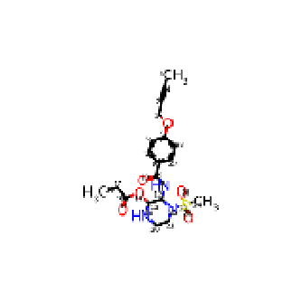 CC#CCOc1ccc(C(=O)NC2C(OC(=O)CC)NCCN2S(C)(=O)=O)cc1